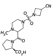 CN1CCN(S(=O)(=O)N2CC(C#N)C2)CC1C(=O)N1CCC[C@@H]1C(=O)O